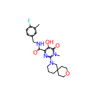 Cc1cc(CNC(=O)c2nc(N3CCCC4(CCOCC4)C3)n(C)c(=O)c2O)ccc1F